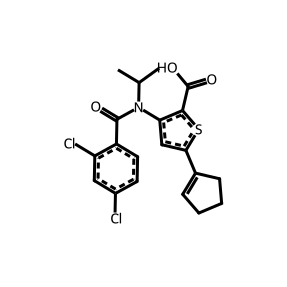 CC(C)N(C(=O)c1ccc(Cl)cc1Cl)c1cc(C2=CCCC2)sc1C(=O)O